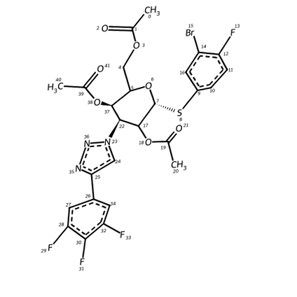 CC(=O)OCC1O[C@H](Sc2ccc(F)c(Br)c2)C(OC(C)=O)[C@@H](n2cc(-c3cc(F)c(F)c(F)c3)nn2)[C@H]1OC(C)=O